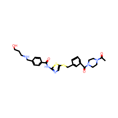 CC(=O)N1CCN(C(=O)c2cccc(CSc3cnc(NC(=O)c4ccc(CNCCCO)cc4)s3)c2)CC1